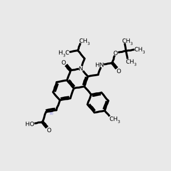 Cc1ccc(-c2c(CNC(=O)OC(C)(C)C)n(CC(C)C)c(=O)c3ccc(/C=C/C(=O)O)cc23)cc1